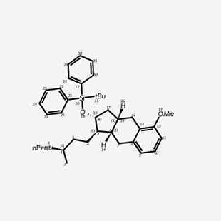 CCCCC[C@H](C)CC[C@@H]1[C@H]2Cc3cccc(OC)c3C[C@H]2C[C@H]1O[Si](c1ccccc1)(c1ccccc1)C(C)(C)C